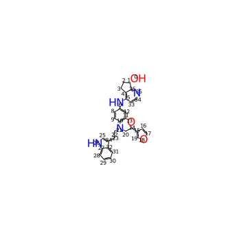 OC1CCc2c(Nc3ccc4c(c3)OC(c3ccoc3)CN4CCc3c[nH]c4ccccc34)ccnc21